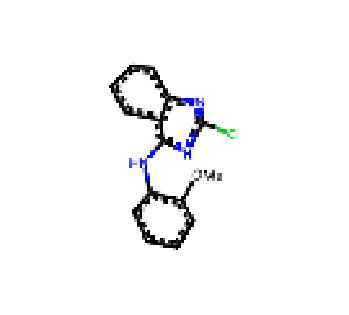 COc1ccccc1Nc1nc(Cl)nc2ccccc12